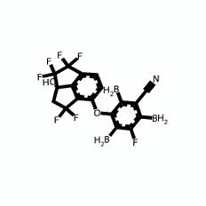 Bc1c(F)c(B)c(Oc2ccc3c4c2C(F)(F)C[C@]4(O)C(F)(F)C3(F)F)c(B)c1C#N